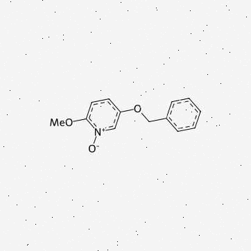 COc1ccc(OCc2ccccc2)c[n+]1[O-]